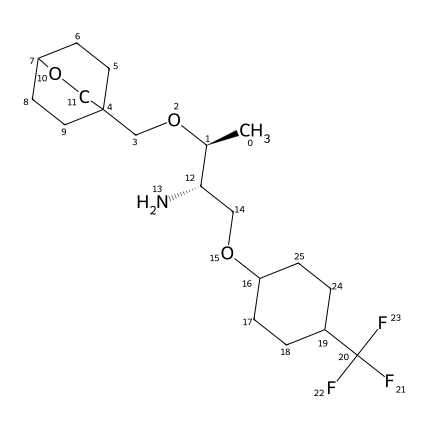 C[C@H](OCC12CCC(CC1)OC2)[C@@H](N)COC1CCC(C(F)(F)F)CC1